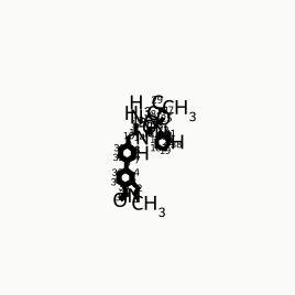 CN1Cc2cc(-c3ccc(C[C@@H](C#N)NC(=O)[C@]45CC[C@H](CN4C(=O)OC(C)(C)C)C5)cc3)ccc2C1=O